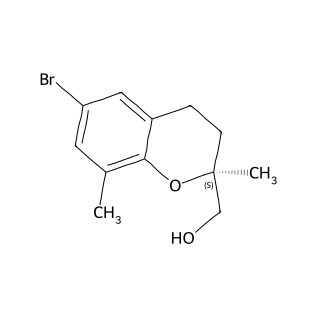 Cc1cc(Br)cc2c1O[C@](C)(CO)CC2